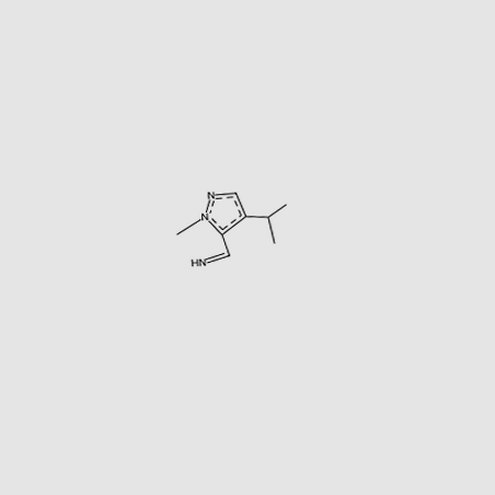 CC(C)c1cnn(C)c1C=N